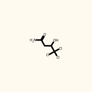 NC(=O)CC(O)C(Cl)(Cl)Cl